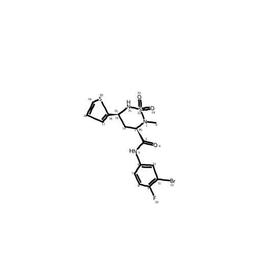 CN1[C@@H](C(=O)Nc2ccc(F)c(Br)c2)C[C@@H](c2cccs2)NS1(=O)=O